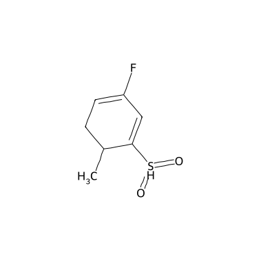 CC1CC=C(F)C=C1[SH](=O)=O